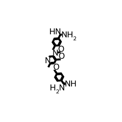 Cc1ncc2c(c1OCc1ccc(C(=N)N)cc1)COC(=O)N2Cc1ccc(C(=N)N)cc1